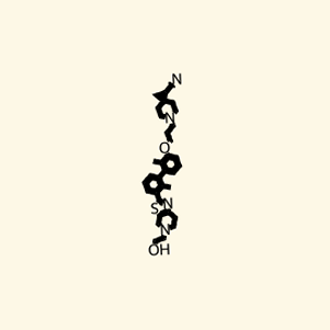 Cc1c(OCCCN2CCC3(CC2)CC3C#N)cccc1-c1cccc(-c2nc3c(s2)CN(CCO)CC3)c1C